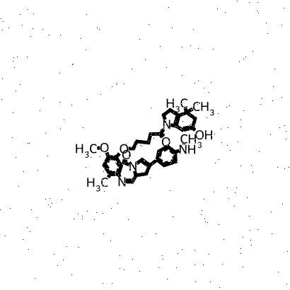 CNc1ccc(C2=CN(C=O)C(/C=N\c3cc(OCCCCC(=O)N4CCC5=C4C=C(O)CC5(C)C)c(OC)cc3C)C2)cc1